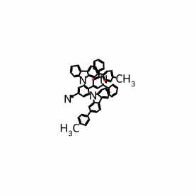 Cc1ccc(-c2ccc3c4ccccc4n(-c4cc(C#N)cc(-n5c6ccccc6c6ccc(-c7ccc(C)cc7)cc65)c4-c4cc(-c5ccccc5)nc(-c5ccccc5)c4)c3c2)cc1